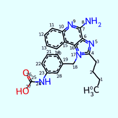 CCCCc1nc2c(N)nc3ccccc3c2n1Cc1cccc(NC(=O)O)c1